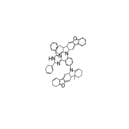 CC12CCCC=C1N(c1ccc(N3C4=CCCCC4C4C=c5oc6ccccc6c5=CC43)c(C3=NC(C4=CC=CCC4)NC(c4ccccc4)=N3)c1)C1C=c3c4c(oc3=CC12)CCC=C4